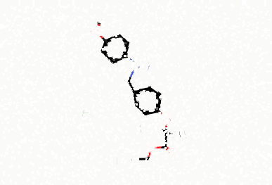 CCOC(=O)C(C)(C)Oc1ccc(CNc2ccc(OC)cc2)cc1.Cl